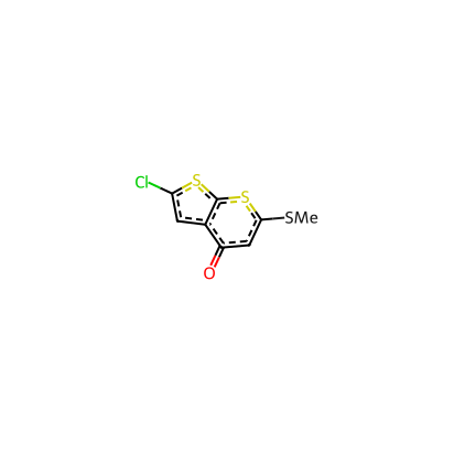 CSc1cc(=O)c2cc(Cl)sc2s1